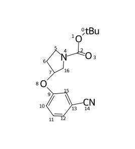 CC(C)(C)OC(=O)N1CCC(Oc2cccc(C#N)c2)C1